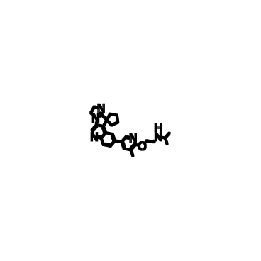 Cc1cc(-c2ccc3ncc4c(c3c2)C2(CCCC2)C2=NCCN24)cnc1OCCNC(C)C